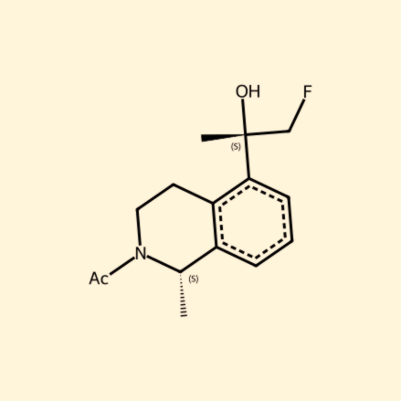 CC(=O)N1CCc2c(cccc2[C@](C)(O)CF)[C@@H]1C